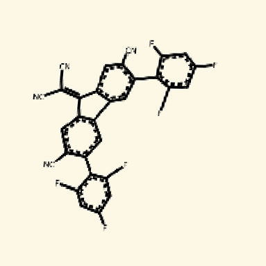 N#CC(C#N)=C1c2cc(C#N)c(-c3c(F)cc(F)cc3F)cc2-c2cc(-c3c(F)cc(F)cc3F)c(C#N)cc21